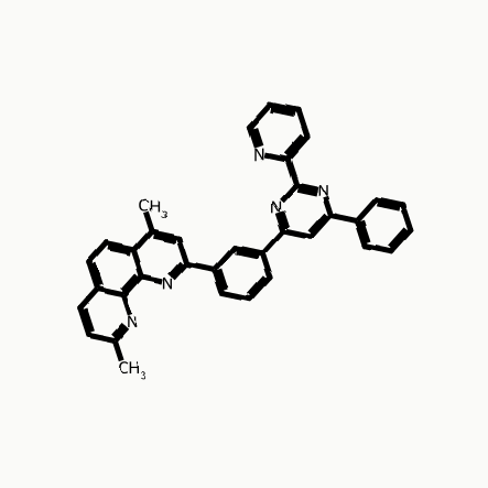 Cc1ccc2ccc3c(C)cc(-c4cccc(-c5cc(-c6ccccc6)nc(-c6ccccn6)n5)c4)nc3c2n1